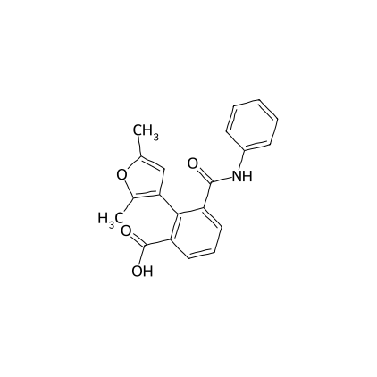 Cc1cc(-c2c(C(=O)O)cccc2C(=O)Nc2ccccc2)c(C)o1